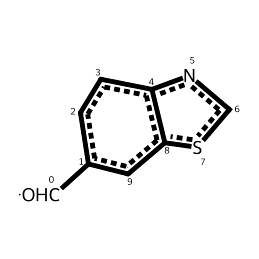 O=[C]c1ccc2ncsc2c1